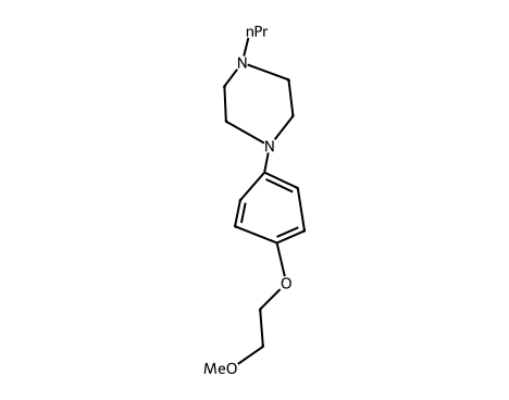 CCCN1CCN(c2ccc(OCCOC)cc2)CC1